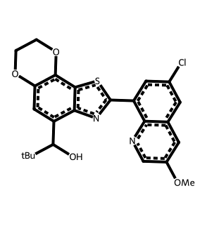 COc1cnc2c(-c3nc4c(C(O)C(C)(C)C)cc5c(c4s3)OCCO5)cc(Cl)cc2c1